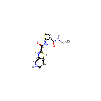 CCOC(=O)N(C)C(=O)c1ccsc1NC(=O)c1nc2cnccc2s1